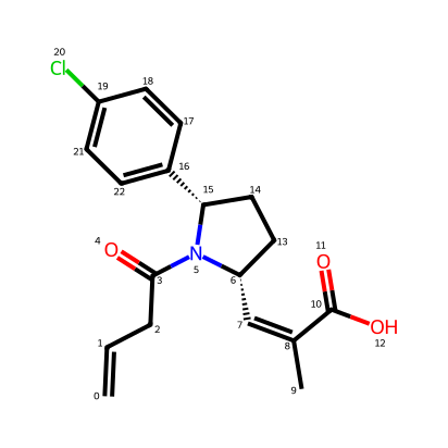 C=CCC(=O)N1[C@@H](C=C(C)C(=O)O)CC[C@H]1c1ccc(Cl)cc1